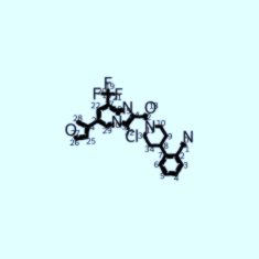 N#Cc1ccccc1C1CCN(C(=O)c2nc3c(C(F)(F)F)cc(-c4ccoc4)cn3c2Cl)CC1